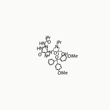 COc1ccc(C(OC[C@]2(CO)CN(C(C)C)C[C@H](n3cnc4c(=O)[nH]c(NC(=O)C(C)C)nc43)O2)(c2ccccc2)c2ccc(OC)cc2)cc1